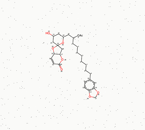 CC(=O)OC(CCCCCCCCc1ccc2c(c1)OCO2)CC1CC(O)CC2(CC3OC(=O)C=CC3O2)O1